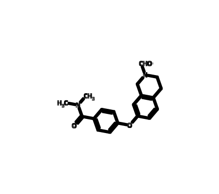 CN(C)C(=O)c1ccc(Oc2ccc3c(c2)CN([C]=O)CC3)cc1